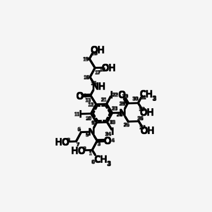 CC(O)C(=O)N(CCO)c1c(I)c(C(=O)NCC(O)CO)c(I)c(N(CCO)C(=O)C(C)O)c1I